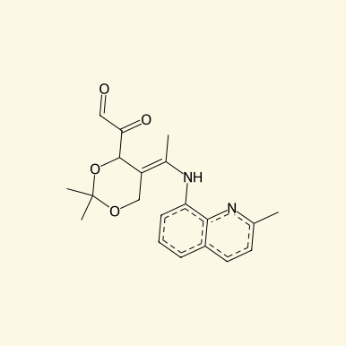 CC(Nc1cccc2ccc(C)nc12)=C1COC(C)(C)OC1C(=O)C=O